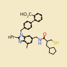 CCCc1nc2c(C)cc(CNC(=O)C(CS)CC3CCCC3)cc2n1Cc1ccc(-c2ccccc2C(=O)O)cc1